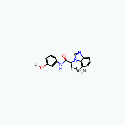 CCOc1cccc(NC(=O)C(C)n2cnc3cccc([N+](=O)[O-])c32)c1